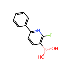 OB(O)c1ccc(-c2ccccc2)nc1F